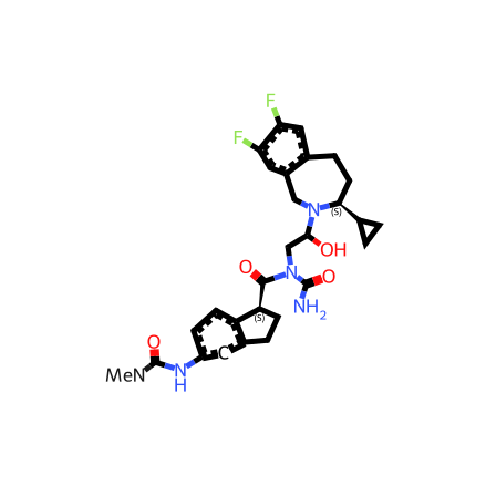 CNC(=O)Nc1ccc2c(c1)CC[C@@H]2C(=O)N(CC(O)N1Cc2cc(F)c(F)cc2CC[C@H]1C1CC1)C(N)=O